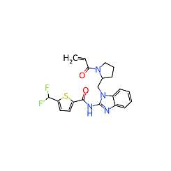 C=CC(=O)N1CCCC1Cn1c(NC(=O)c2ccc(C(F)F)s2)nc2ccccc21